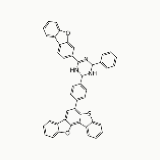 c1ccc(C2N=C(c3ccc4c(c3)oc3ccccc34)NC(c3ccc(-c4cc5c6ccccc6oc5c5c4sc4ccccc45)cc3)N2)cc1